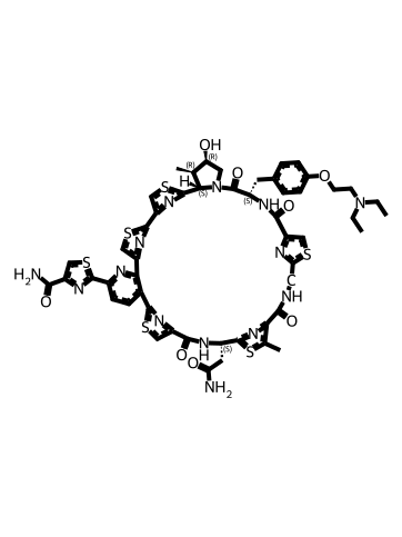 CCN(CC)CCOc1ccc(C[C@@H]2NC(=O)c3csc(n3)CNC(=O)c3nc(sc3C)[C@H](CC(N)=O)NC(=O)c3csc(n3)-c3ccc(-c4nc(C(N)=O)cs4)nc3-c3csc(n3)-c3csc(n3)[C@@H]3[C@@H](C)[C@@H](O)CN3C2=O)cc1